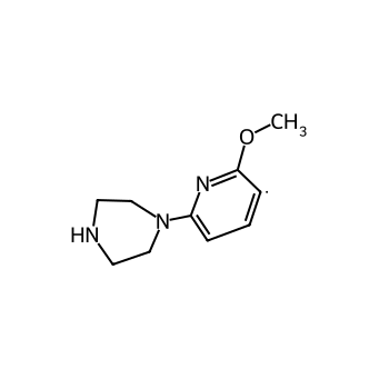 COc1[c]ccc(N2CCNCC2)n1